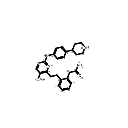 COc1cnc(Nc2ccc(C3CCNCC3)cc2)nc1CCc1ccccc1CC(N)=O